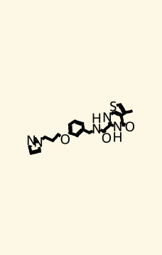 Cc1csc2nc(C(=O)NCc3cccc(OCCCn4cccn4)c3)[nH]c(=O)c12